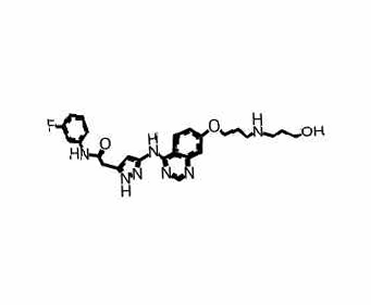 O=C(Cc1cc(Nc2ncnc3cc(OCCCNCCCO)ccc23)n[nH]1)Nc1cccc(F)c1